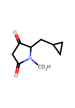 O=C1CC(=O)N(C(=O)O)C1CC1CC1